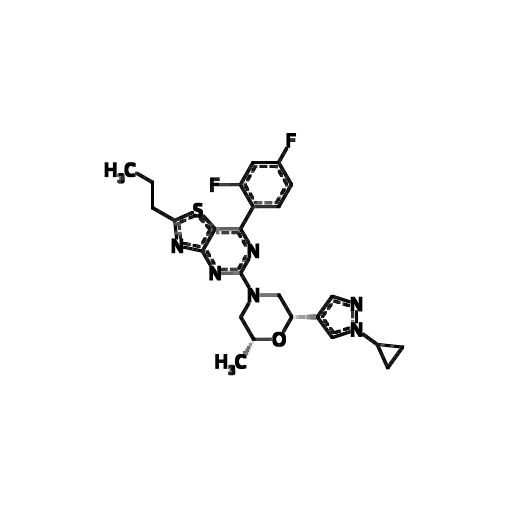 CCCc1nc2nc(N3C[C@@H](C)O[C@@H](c4cnn(C5CC5)c4)C3)nc(-c3ccc(F)cc3F)c2s1